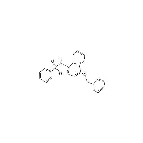 O=S(=O)(Nc1ccc(OCc2ccccc2)c2ccccc12)c1ccccc1